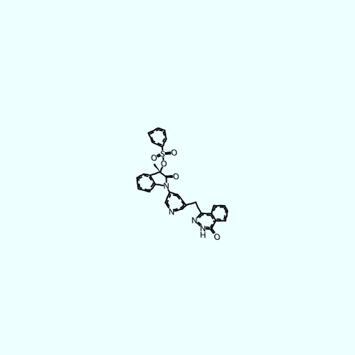 C[C@@]1(OS(=O)(=O)c2ccccc2)C(=O)N(c2cncc(Cc3n[nH]c(=O)c4ccccc34)c2)c2ccccc21